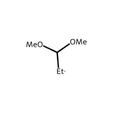 C[CH]C(OC)OC